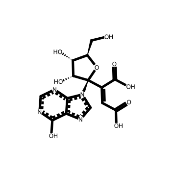 O=C(O)/C=C(\C(=O)O)[C@@]1(n2cnc3c(O)ncnc32)O[C@H](CO)[C@@H](O)[C@H]1O